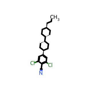 CCC[C@H]1CC[C@H]([C@H]2CC[C@H](c3cc(Cl)c(C#N)c(Cl)c3)CC2)CC1